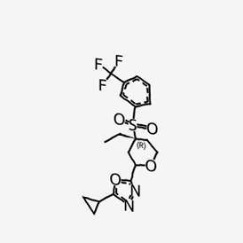 CC[C@@]1(S(=O)(=O)c2cccc(C(F)(F)F)c2)CCOC(c2nnc(C3CC3)o2)C1